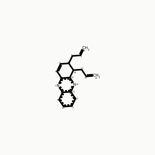 C=CCC1C=Cc2nc3ccccc3nc2C1CC=C